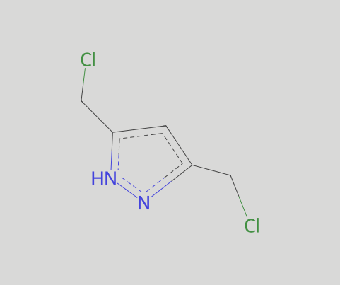 ClCc1cc(CCl)[nH]n1